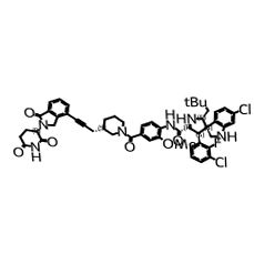 COc1cc(C(=O)N2CCC[C@@H](CC#Cc3cccc4c3CN([C@@H]3CCC(=O)NC3=O)C4=O)C2)ccc1NC(=O)[C@@H]1N[C@@H](CC(C)(C)C)[C@@]2(CNc3cc(Cl)ccc32)[C@H]1c1cccc(Cl)c1F